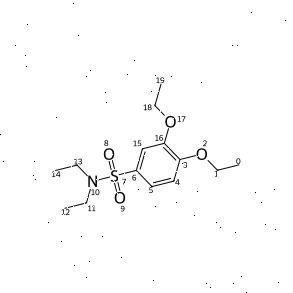 CCOc1ccc(S(=O)(=O)N(CC)CC)cc1OCC